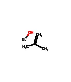 C=C(C)C.CCO